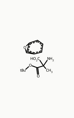 CC(C)(C)OC(=O)C(C)(N)C(=O)O.c1cc2cc(c1)OC2